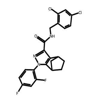 O=C(NCc1ccc(Cl)cc1Cl)c1nn(-c2ccc(F)cc2F)c2c1C1CCC2C1